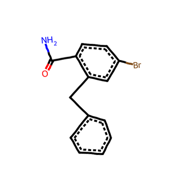 NC(=O)c1ccc(Br)cc1Cc1ccccc1